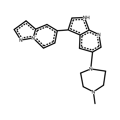 CN1CCN(c2cnc3[nH]cc(-c4ccn5nccc5c4)c3c2)CC1